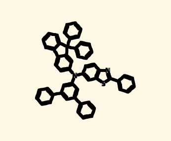 c1ccc(-c2cc(-c3ccccc3)cc(N(c3ccc4c(c3)C(c3ccccc3)(c3ccccc3)c3ccccc3-4)c3ccc4nc(-c5ccccc5)sc4c3)c2)cc1